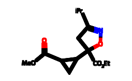 CCOC(=O)C1(C2CC2C(=O)OC)CC(C(C)C)=NO1